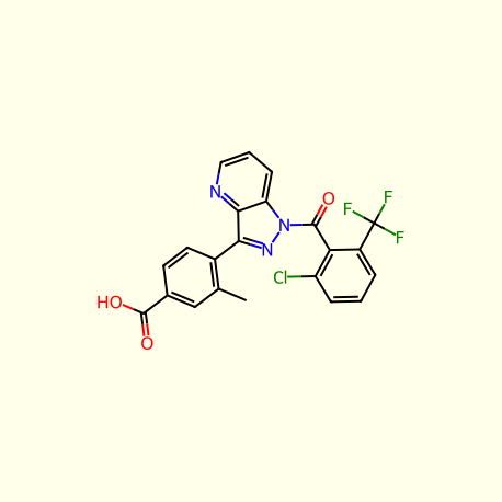 Cc1cc(C(=O)O)ccc1-c1nn(C(=O)c2c(Cl)cccc2C(F)(F)F)c2cccnc12